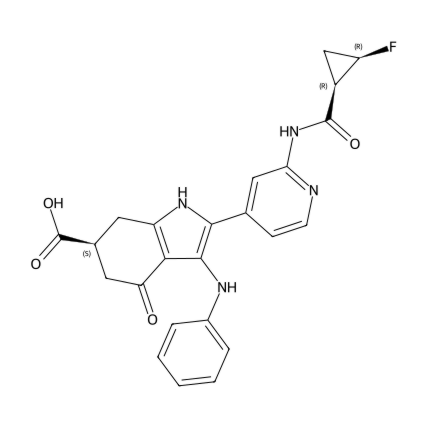 O=C1C[C@@H](C(=O)O)Cc2[nH]c(-c3ccnc(NC(=O)[C@H]4C[C@H]4F)c3)c(Nc3ccccc3)c21